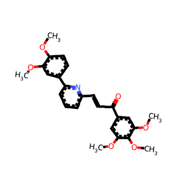 COc1ccc(-c2cccc(C=CC(=O)c3cc(OC)c(OC)c(OC)c3)n2)cc1OC